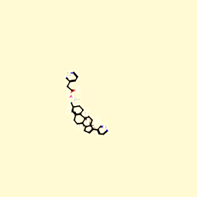 C[C@]12CCC(CNOC(=O)Cc3cccnc3)C=C1CC[C@H]1[C@@H]2CC[C@]2(C)C(c3cccnc3)=CC[C@@H]12